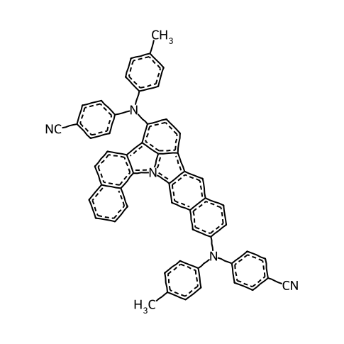 Cc1ccc(N(c2ccc(C#N)cc2)c2ccc3cc4c5ccc(N(c6ccc(C)cc6)c6ccc(C#N)cc6)c6c7ccc8ccccc8c7n(c4cc3c2)c56)cc1